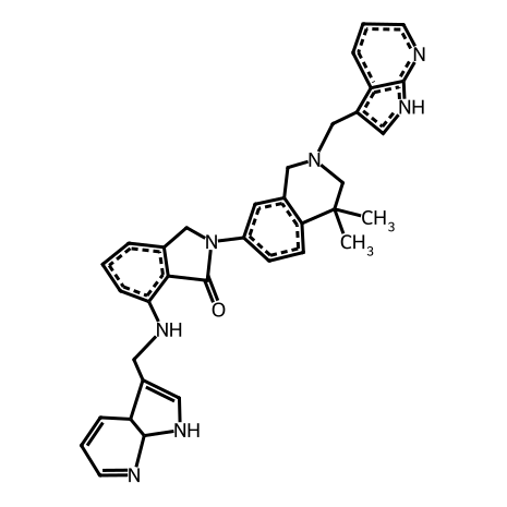 CC1(C)CN(Cc2c[nH]c3ncccc23)Cc2cc(N3Cc4cccc(NCC5=CNC6N=CC=CC56)c4C3=O)ccc21